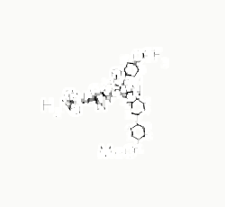 COCc1ccc(-c2ccc3nc(C(c4ccc(OC(F)(F)F)cc4)S(=O)(=O)Cc4nnc(CNS(N)(=O)=O)o4)sc3c2)cc1